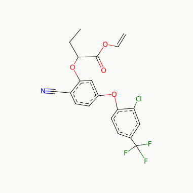 C=COC(=O)C(CC)Oc1cc(Oc2ccc(C(F)(F)F)cc2Cl)ccc1C#N